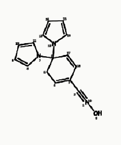 O[N+]#CC1=CCC(n2cccc2)(n2cccc2)C=C1